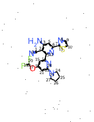 N#Cc1c(N)cc(-c2nccs2)nc1-c1cc(OC(F)F)cc(N2CCCC2)n1